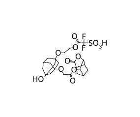 O=C(COC12CC3CC(O)(CC(OCCOC(=O)C(F)(F)S(=O)(=O)O)(C3)C1)C2)OC1C2CC3C(=O)OC1C3C2